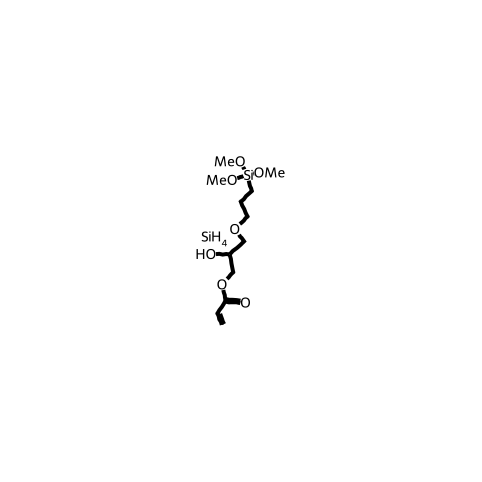 C=CC(=O)OCC(O)COCCC[Si](OC)(OC)OC.[SiH4]